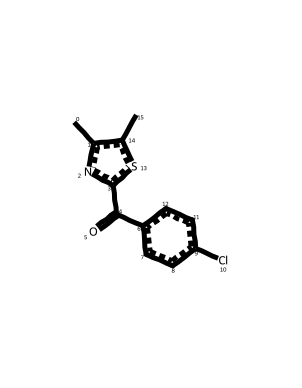 Cc1nc(C(=O)c2ccc(Cl)cc2)sc1C